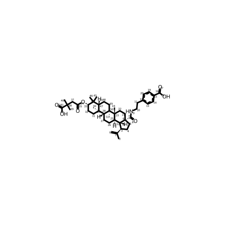 C=C(C)[C@@H]1CC[C@]2(C(=O)NCCc3ccc(C(=O)O)cc3)CC[C@]3(C)[C@H](CC[C@@H]4[C@@]5(C)CC[C@H](OC(=O)CC(C)(C)C(=O)O)C(C)(C)[C@@H]5CC[C@]43C)[C@@H]12